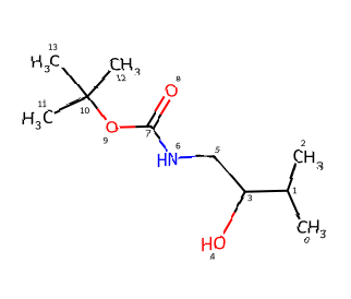 CC(C)C(O)CNC(=O)OC(C)(C)C